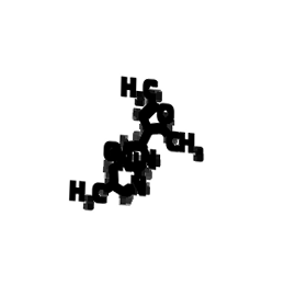 CC1=C[N+]2([O-])C=C(c3cc(C)oc3C)N=C2N=C1